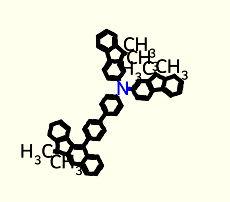 CC1(C)C2=C(C=CCC2)c2c1cc1ccccc1c2-c1ccc(-c2ccc(N(c3ccc4c(c3)C(C)(C)c3ccccc3-4)c3ccc4c(c3)C(C)(C)C3CC=CC=C43)cc2)cc1